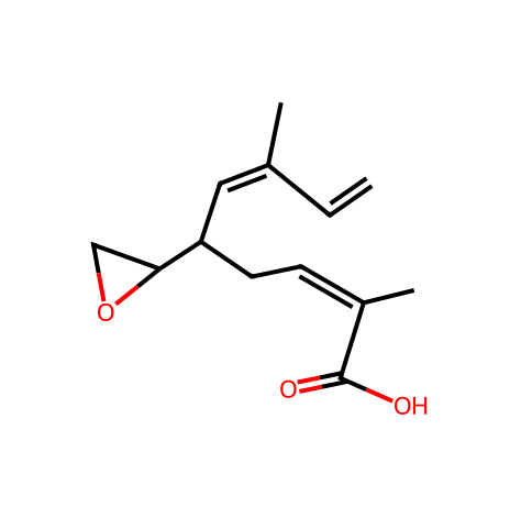 C=CC(C)=CC(CC=C(C)C(=O)O)C1CO1